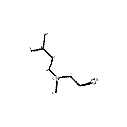 CC(C)CCN(C)CCCl